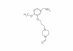 COc1ccc(CN)cc1OCCCN1CCN(C=O)CC1